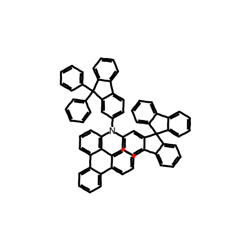 c1ccc(C2(c3ccccc3)c3ccccc3-c3ccc(N(c4ccc5c(c4)C4(c6ccccc6-c6ccccc64)c4ccccc4-5)c4cccc5c6ccccc6c6ccccc6c45)cc32)cc1